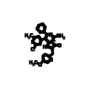 COc1ccc(Cn2[nH]c3c(-c4cc(C)nc(Cl)c4)c(-c4ccccc4)nc(N)[n+]3c2=O)nc1